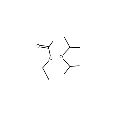 CC(C)OC(C)C.CCOC(C)=O